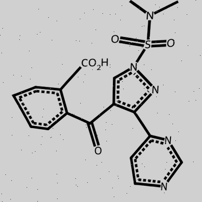 CN(C)S(=O)(=O)n1cc(C(=O)c2ccccc2C(=O)O)c(-c2ccncn2)n1